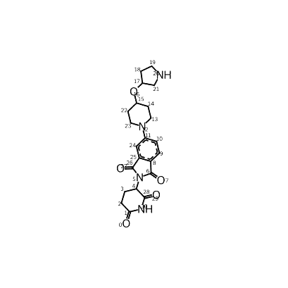 O=C1CCC(N2C(=O)c3ccc(N4CCC(OC5CCNC5)CC4)cc3C2=O)C(=O)N1